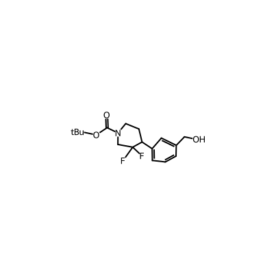 CC(C)(C)OC(=O)N1CCC(c2cccc(CO)c2)C(F)(F)C1